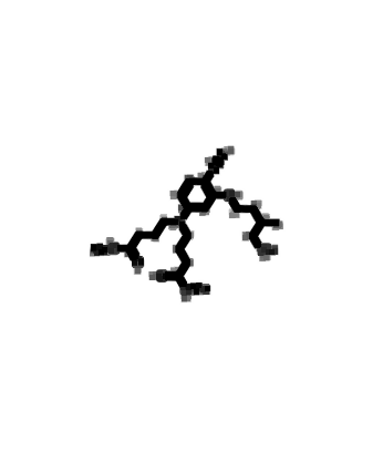 COC(=O)CCCN(CCCC(=O)OC)c1ccc([N+]#N)c(OCCC(C)CC(C)(C)C)c1